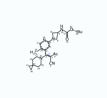 CC(=O)/C(C#N)=C(\c1cc(N2CC(NC(=O)OC(C)(C)C)C2)ncc1C)N1CCC2(CC1)CC2